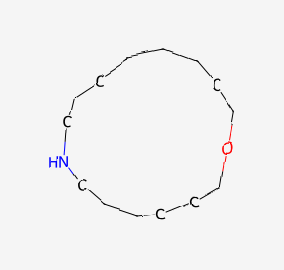 C1CCCCOCCCCCCNCCC1